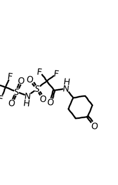 O=C1CCC(NC(=O)C(F)(F)S(=O)(=O)NS(=O)(=O)C(F)(F)F)CC1